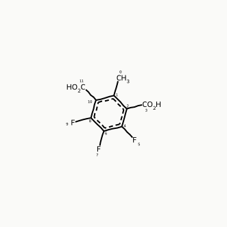 Cc1c(C(=O)O)c(F)c(F)c(F)c1C(=O)O